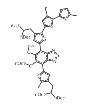 CCCCCCCCCCC(CCCCCCCC)Cc1cc(-c2c(OCCCCCCCC)c(OCCCCCCCC)c(-c3cc(CC(CCCCCCCC)CCCCCCCCCC)c(-c4cc(F)c(-c5ccc(C)s5)s4)s3)c3nsnc23)sc1C